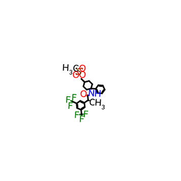 CC(C(=O)NC1(c2ccccc2)CCC(COS(C)(=O)=O)CC1)c1cc(C(F)(F)F)cc(C(F)(F)F)c1